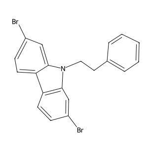 Brc1ccc2c3ccc(Br)cc3n(CCc3ccccc3)c2c1